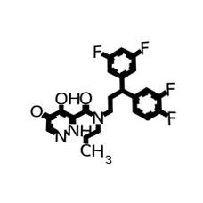 CCCN(CCC(c1cc(F)cc(F)c1)c1ccc(F)c(F)c1)C(=O)c1[nH]ncc(=O)c1O